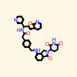 O=C1CCC(N2Cc3c(NCc4ccc(CC(=O)NC(c5cccnc5)c5cc6cccnc6o5)cc4)cccc3C2=O)C(=O)N1